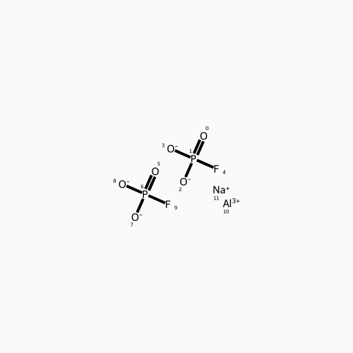 O=P([O-])([O-])F.O=P([O-])([O-])F.[Al+3].[Na+]